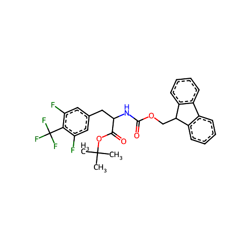 CC(C)(C)OC(=O)C(Cc1cc(F)c(C(F)(F)F)c(F)c1)NC(=O)OCC1c2ccccc2-c2ccccc21